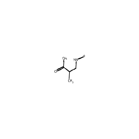 CC(CNF)C(=O)O